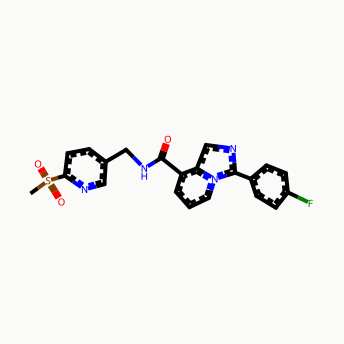 CS(=O)(=O)c1ccc(CNC(=O)c2cccn3c(-c4ccc(F)cc4)ncc23)cn1